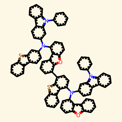 c1ccc(-n2c3ccccc3c3ccc(N(c4ccc5c(c4)sc4ccccc45)c4cccc5oc6c(-c7ccc(N(c8ccc9c%10ccccc%10n(-c%10ccccc%10)c9c8)c8cccc9oc%10ccccc%10c89)c8c7sc7ccccc78)cccc6c45)cc32)cc1